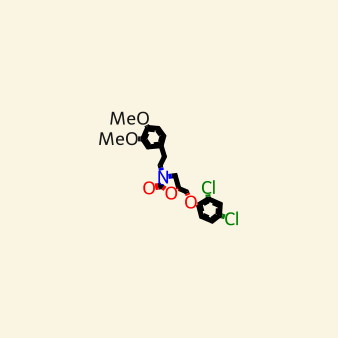 COc1ccc(CCN2CC(COc3ccc(Cl)cc3Cl)OC2=O)cc1OC